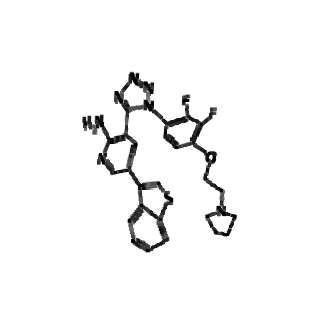 Nc1ncc(-c2csc3ccccc23)cc1-c1nnnn1-c1ccc(OCCN2CCCC2)c(F)c1F